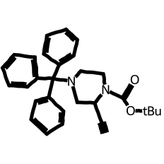 C#CC1CN(C(c2ccccc2)(c2ccccc2)c2ccccc2)CCN1C(=O)OC(C)(C)C